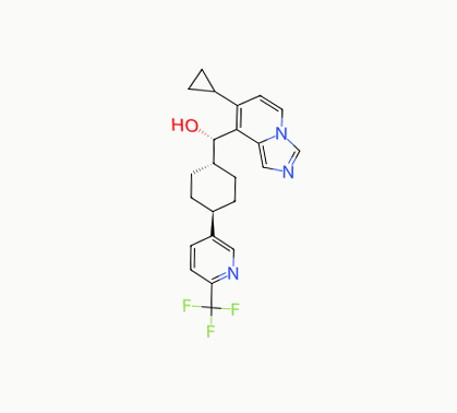 O[C@H](c1c(C2CC2)ccn2cncc12)[C@H]1CC[C@H](c2ccc(C(F)(F)F)nc2)CC1